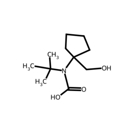 CC(C)(C)N(C(=O)O)C1(CO)CCCC1